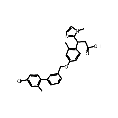 Cc1cc(Cl)ccc1-c1cccc(COc2ccc(C(CC(=O)O)c3nccn3C)c(C)c2)c1